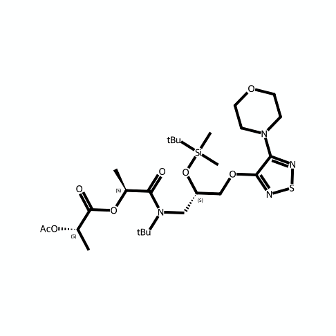 CC(=O)O[C@@H](C)C(=O)O[C@@H](C)C(=O)N(C[C@@H](COc1nsnc1N1CCOCC1)O[Si](C)(C)C(C)(C)C)C(C)(C)C